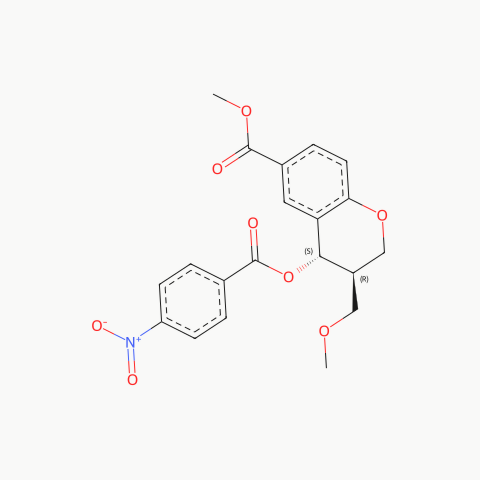 COC[C@@H]1COc2ccc(C(=O)OC)cc2[C@H]1OC(=O)c1ccc([N+](=O)[O-])cc1